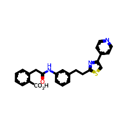 O=C(Cc1ccccc1C(=O)O)Nc1cccc(CCc2nc(-c3ccncc3)cs2)c1